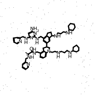 C[C@H](NCc1ccccn1)C(=O)NCc1cccc2c1CC(c1cc(CNc3nc(N)cc(NCc4ccccn4)n3)c3c(c1)C(NCCCNC1CCCCC1)CC3)CN2CCNCCCNC1CCCCC1